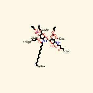 C=CCOC(=O)O[C@H]1[C@H](OCCCCCCCCCC)[C@@H](NC(=O)CC(=O)CCCCCCCCCCC)[C@H](O)O[C@@H]1CO[C@@H]1O[C@H](COC)[C@@H](OP(=O)(OCC=C)OCC=C)[C@H](OCC[C@@H](CCCCCCC)OC)[C@H]1NC(=O)CCCCCCCCC/C=C\CCCCCC